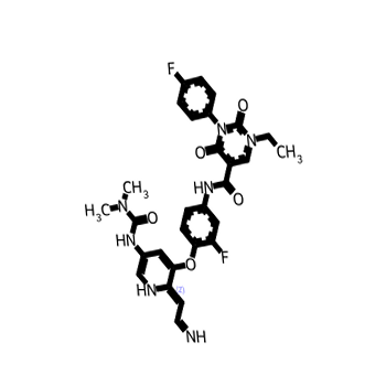 CCn1cc(C(=O)Nc2ccc(OC3=CC(NC(=O)N(C)C)=CN/C3=C\C=N)c(F)c2)c(=O)n(-c2ccc(F)cc2)c1=O